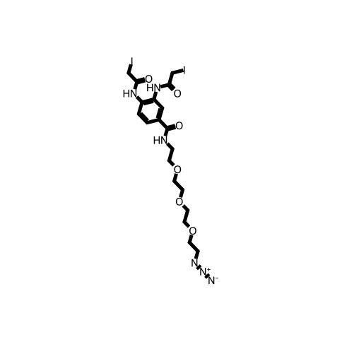 [N-]=[N+]=NCCOCCOCCOCCNC(=O)c1ccc(NC(=O)CI)c(NC(=O)CI)c1